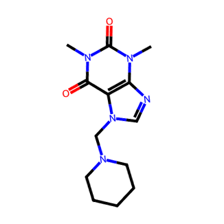 Cn1c(=O)c2c(ncn2CN2CCCCC2)n(C)c1=O